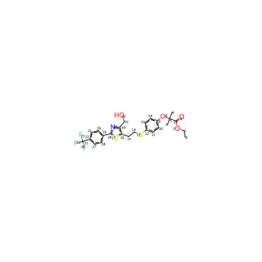 CCOC(=O)C(C)(C)Oc1ccc(SCCc2sc(-c3ccc(C(F)(F)F)cc3)nc2CO)cc1